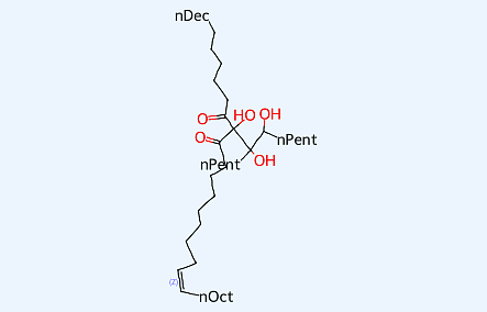 CCCCCCCC/C=C\CCCCCCCC(=O)C(O)(C(=O)CCCCCCCCCCCCCCC)C(O)(CCCCC)C(O)CCCCC